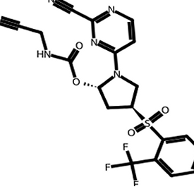 N#CCNC(=O)O[C@H]1C[C@H](S(=O)(=O)c2ccccc2C(F)(F)F)CN1c1ccnc(C#N)n1